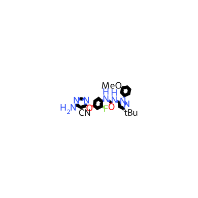 COc1cccc(-n2nc(C(C)(C)C)cc2NC(=O)Nc2ccc(Oc3ncnc(N)c3C#N)cc2F)c1